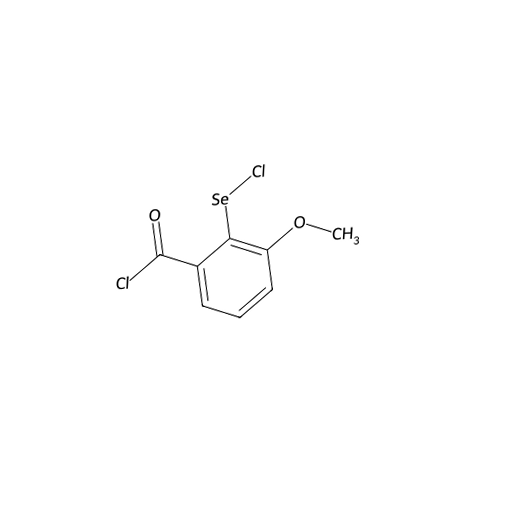 COc1cccc(C(=O)Cl)c1[Se]Cl